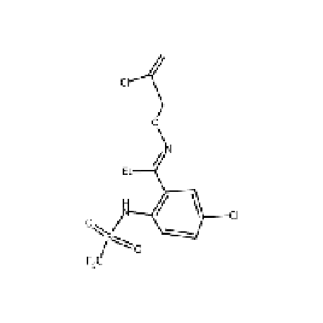 C=C(Cl)CO/N=C(\CC)c1cc(Cl)ccc1NS(=O)(=O)C(F)(F)F